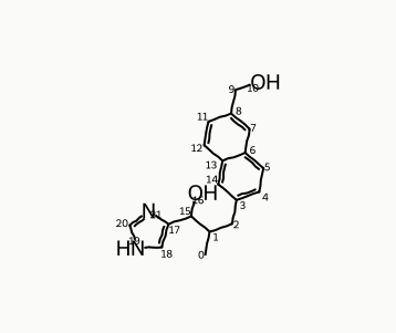 CC(Cc1ccc2cc(CO)ccc2c1)C(O)c1c[nH]cn1